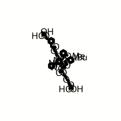 COc1ccccc1Oc1c(OCCOC(=O)Cc2cccc(CON(O)O)c2)nc(-c2ncccn2)nc1N(C(C)OC(=O)OCCOCCON(O)O)S(=O)(=O)c1ccc(C(C)(C)C)cc1